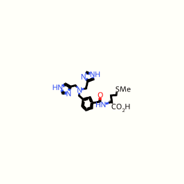 CSCC[C@H](NC(=O)c1cccc(CN(Cc2c[nH]cn2)Cc2c[nH]cn2)c1)C(=O)O